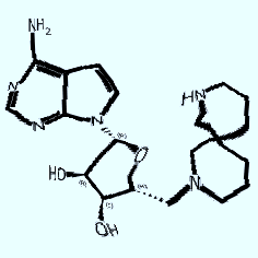 Nc1ncnc2c1ccn2[C@@H]1O[C@H](CN2CCCC3(CCCNC3)C2)[C@@H](O)[C@H]1O